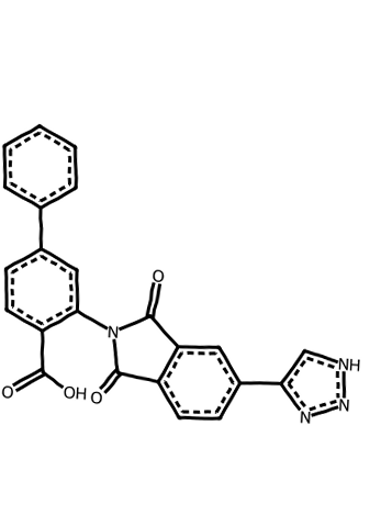 O=C(O)c1ccc(-c2ccccc2)cc1N1C(=O)c2ccc(-c3c[nH]nn3)cc2C1=O